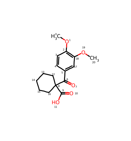 COc1ccc(C(=O)C2(C(=O)O)CCCCC2)cc1OC